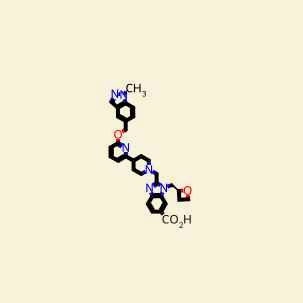 Cn1ncc2cc(COc3cccc(C4CCN(Cc5nc6ccc(C(=O)O)cc6n5C[C@@H]5CCO5)CC4)n3)ccc21